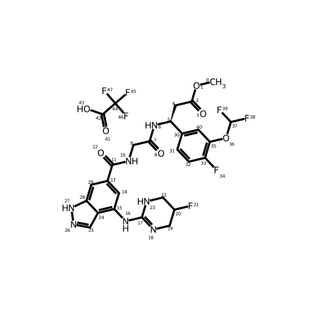 COC(=O)C[C@H](NC(=O)CNC(=O)c1cc(NC2=NCC(F)CN2)c2cn[nH]c2c1)c1ccc(F)c(OC(F)F)c1.O=C(O)C(F)(F)F